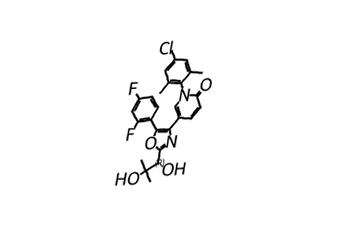 Cc1cc(Cl)cc(C)c1-n1cc(-c2nc([C@H](O)C(C)(C)O)oc2-c2ccc(F)cc2F)ccc1=O